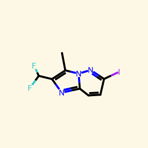 Cc1c(C(F)F)nc2ccc(I)nn12